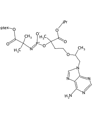 CCCCCCOC(=O)C(C)(C)/N=[P+](\[O-])OC(C)(CCOC(C)Cn1cnc2c(N)ncnc21)C(=O)OC(C)C